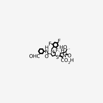 C[C@@H](O)[C@H]1C(=O)N2C(C(=O)O)=C(S[C@H]3C[C@@H](C(=O)Nc4cccc(C=O)c4)N(Cc4c(F)cc(F)cc4F)C3)[C@H](C)[C@H]12